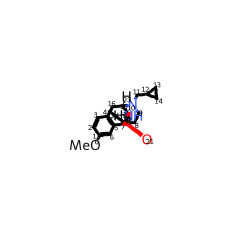 COc1ccc2c(c1)C13CCN(CC4CC4)[C@H](C2)[C@@H]1CNC(=O)C3